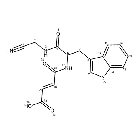 N#CCNC(=O)C(Cc1csc2ccccc12)NC(=O)C=CC(=O)O